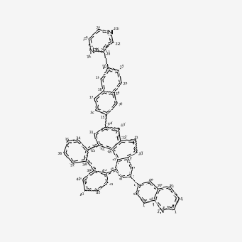 c1cnc2ccc(-c3cc4ccc5cc(-c6ccc7cc(-c8cnccn8)ccc7c6)cc6c7ccccc7c7ccccc7c(c3)c4c56)cc2c1